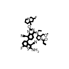 C=CC(=O)N1CCC(N(CC)c2nc(OCC34CCCN3CC(F)C4)nc3c(C#N)c(-c4ccc(F)c5sc(N)c(C#N)c45)ccc23)C1COC